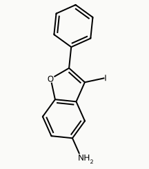 Nc1ccc2oc(-c3ccccc3)c(I)c2c1